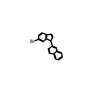 Brc1ccc2c(c1)C(c1ccc3ccccc3c1)C=C2